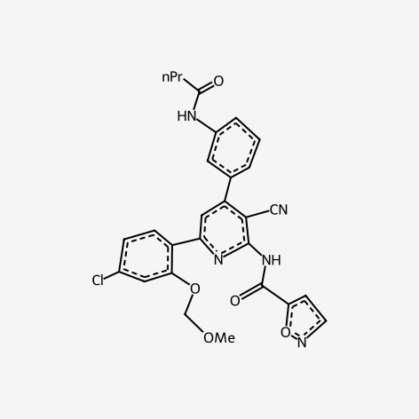 CCCC(=O)Nc1cccc(-c2cc(-c3ccc(Cl)cc3OCOC)nc(NC(=O)c3ccno3)c2C#N)c1